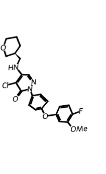 COc1cc(Oc2ccc(-n3ncc(NC[C@@H]4CCCOC4)c(Cl)c3=O)cc2)ccc1F